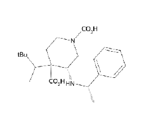 CC(C(C)(C)C)C1(C(=O)O)CCN(C(=O)O)C[C@@H]1N[C@@H](C)c1ccccc1